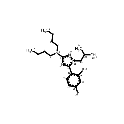 CCCCN(CCCC)c1nc(-c2ccc(F)cc2F)n(CC(C)C)n1